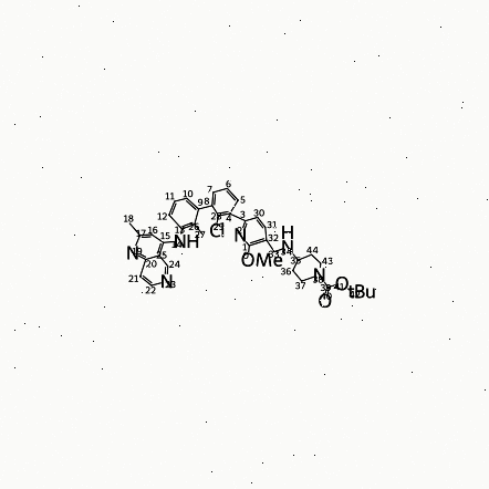 COc1nc(-c2cccc(-c3cccc(Nc4cc(C)nc5ccncc45)c3C)c2Cl)ccc1CNC1CCN(C(=O)OC(C)(C)C)CC1